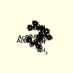 CC(=O)Oc1cc(C(=O)O/N=C(\C(=O)N[C@@H]2C(=O)N3C(C(=O)OC(c4ccccc4)c4ccccc4)=C(CSc4nnnn4CC(=O)OC(c4ccccc4)c4ccccc4)CS[C@H]23)c2coc(N)n2)cc(OC(C)=O)c1OC(C)=O